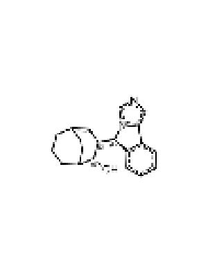 O[C@@H]1C2CCCC(=C[C@H]1[C@@H]1c3ccccc3-c3cncn31)CC2